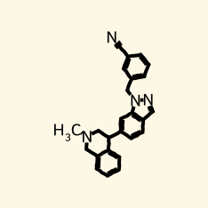 CN1Cc2ccccc2C(c2ccc3cnn(Cc4cccc(C#N)c4)c3c2)C1